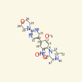 COc1cc(N2CC(C)N(C)C(C)C2)c([N+](=O)[O-])cc1-c1cnc(N2CCOCC2)nc1